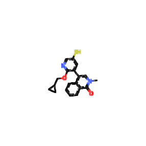 Cn1cc(-c2cc(S)cnc2OCC2CC2)c2ccccc2c1=O